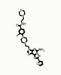 Nc1nc2c(ncn2CCN2CCN(c3ccc(C(=O)NCCN4CCOCC4)cc3F)CC2)c2nc(-c3ccco3)nn12